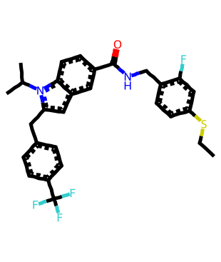 CCSc1ccc(CNC(=O)c2ccc3c(c2)cc(Cc2ccc(C(F)(F)F)cc2)n3C(C)C)c(F)c1